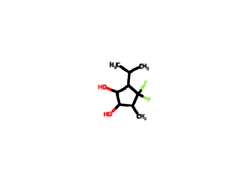 CC(C)C1C(O)C(O)C(C)C1(F)F